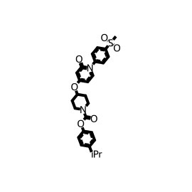 CC(C)c1ccc(OC(=O)N2CCC(Oc3ccn(-c4ccc(S(C)(=O)=O)cc4)c(=O)c3)CC2)cc1